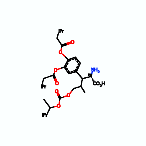 CC(C)CC(=O)Oc1ccc(C(C(C)COC(=O)OC(C)C(C)C)[C@H](N)C(=O)O)cc1OC(=O)CC(C)C